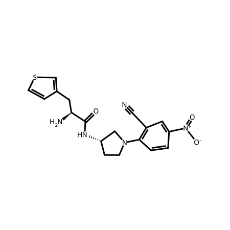 N#Cc1cc([N+](=O)[O-])ccc1N1CC[C@H](NC(=O)[C@@H](N)Cc2ccsc2)C1